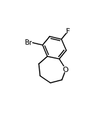 Fc1cc(Br)c2c(c1)OCCCC2